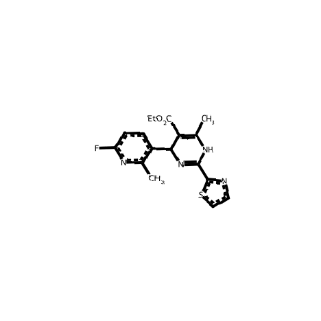 CCOC(=O)C1=C(C)NC(c2nccs2)=NC1c1ccc(F)nc1C